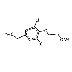 COCCOc1c(Cl)cc(CC=O)cc1Cl